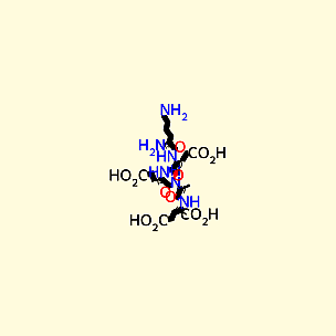 C[C@H](NC(=O)[C@H](CCC(=O)O)NC(=O)[C@H](CCC(=O)O)NC(=O)[C@@H](N)CCCCN)C(=O)N[C@@H](CCC(=O)O)C(=O)O